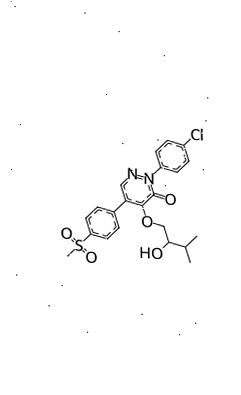 CC(C)C(O)COc1c(-c2ccc(S(C)(=O)=O)cc2)cnn(-c2ccc(Cl)cc2)c1=O